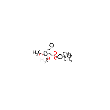 COc1cc(/C=C/c2ccccc2)c(/C=C/C(=O)Oc2ccc(C(C)(C)c3ccccc3)cc2)c(OC)c1